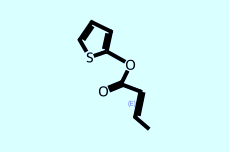 C/C=C/C(=O)Oc1cccs1